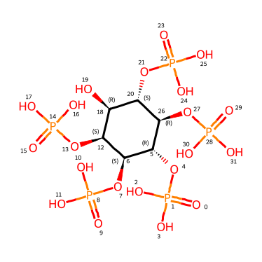 O=P(O)(O)O[C@@H]1[C@@H](OP(=O)(O)O)[C@@H](OP(=O)(O)O)[C@@H](O)[C@H](OP(=O)(O)O)[C@H]1OP(=O)(O)O